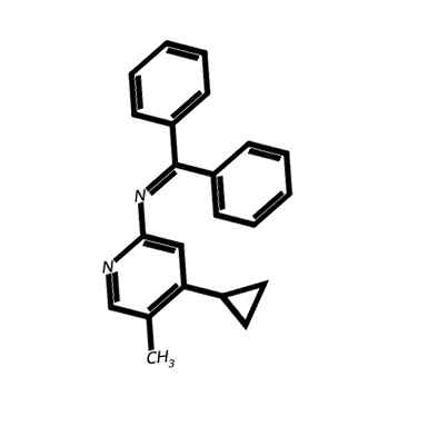 Cc1cnc(N=C(c2ccccc2)c2ccccc2)cc1C1CC1